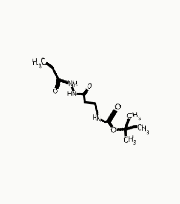 CCC(=O)NNC(=O)CCNC(=O)OC(C)(C)C